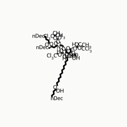 CCCCCCCCCCCCCC(=O)O[C@H](CCCCCCCCCCC)CC(=O)N[C@H](COC(=O)OC(C)(C)C(Cl)(Cl)Cl)CO[C@@H]1O[C@H](COC(=O)OC(C)(C)C(Cl)(Cl)Cl)[C@@H](OP(=O)(O)O)[C@H](OC(=O)CCCCCCCCCCCCCO[C@@H](O)CCCCCCCCCCCCC)[C@H]1NC(=O)OCC(Cl)(Cl)Cl